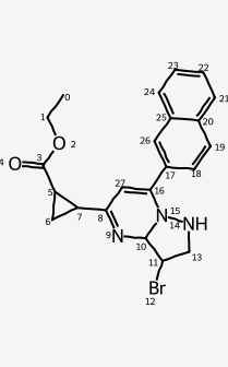 CCOC(=O)C1CC1C1=NC2C(Br)CNN2C(c2ccc3ccccc3c2)=C1